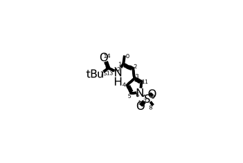 C/C(=C/c1ccn(S(C)(=O)=O)c1)NC(=O)C(C)(C)C